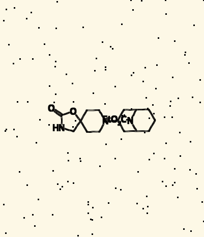 CCOC(=O)N1C2CCCC1CC(N1CCC3(CC1)CNC(=O)O3)C2